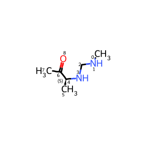 CNCN[C@@H](C)C(C)=O